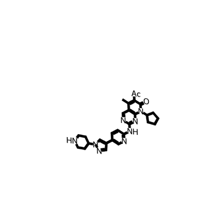 CC(=O)c1c(C)c2cnc(Nc3ccc(-c4cnn(C5CCNCC5)c4)cn3)nc2n(C2CCCC2)c1=O